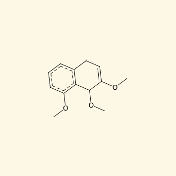 COC1=C[CH]c2cccc(OC)c2C1OC